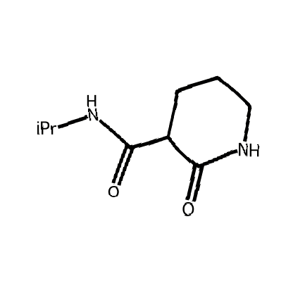 CC(C)NC(=O)C1CCCNC1=O